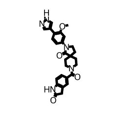 COc1cc(N2CCC3(CCN(C(=O)c4ccc5c(c4)CC(=O)N5)CC3)C2=O)ccc1-c1cn[nH]c1